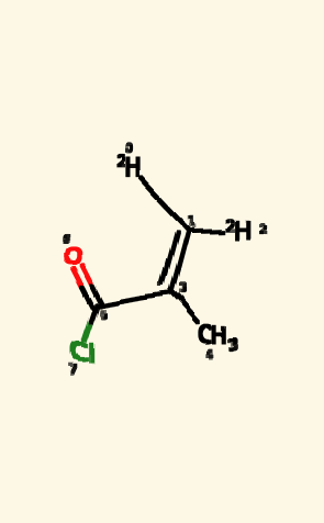 [2H]C([2H])=C(C)C(=O)Cl